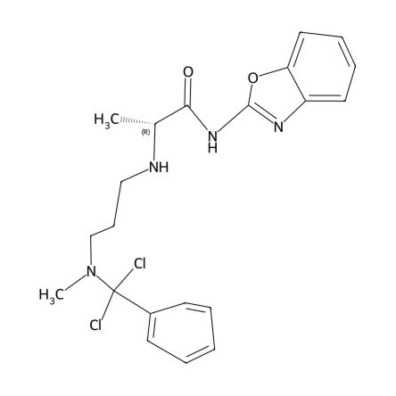 C[C@@H](NCCCN(C)C(Cl)(Cl)c1ccccc1)C(=O)Nc1nc2ccccc2o1